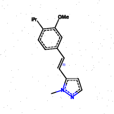 COc1cc(/C=C/c2ccnn2C)ccc1C(C)C